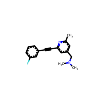 Cc1cc(CN(C)C)cc(C#Cc2cccc(F)c2)n1